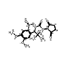 COc1cc(C(OC(=O)ON2C(=O)CCC2=O)C(C)(C)C)c([N+](=O)[O-])cc1OC